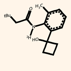 [2H]N(C(=O)CC(C)(C)C)c1c(C)cccc1C1(O)CCC1